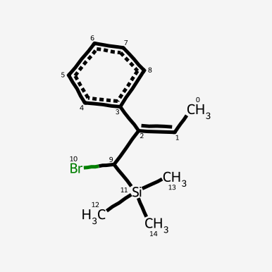 C/C=C(\c1ccccc1)C(Br)[Si](C)(C)C